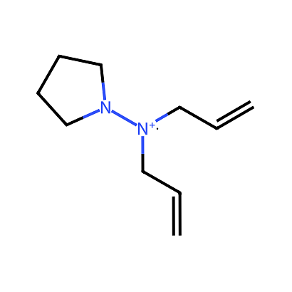 C=CC[N+](CC=C)N1CCCC1